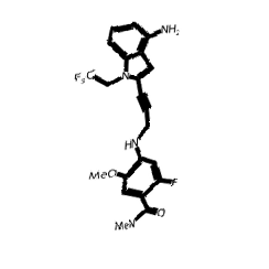 CNC(=O)c1cc(OC)c(NCC#Cc2cc3c(N)cccc3n2CC(F)(F)F)cc1F